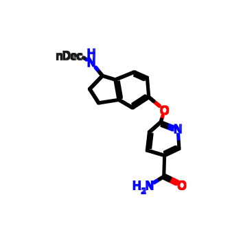 CCCCCCCCCCNC1CCc2cc(Oc3ccc(C(N)=O)cn3)ccc21